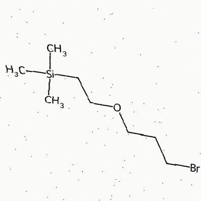 C[Si](C)(C)CCOCCCBr